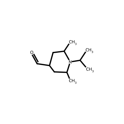 CC(C)N1C(C)CC(C=O)CC1C